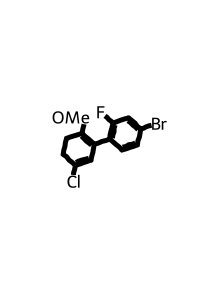 COC1=C(c2ccc(Br)cc2F)C=C(Cl)CC1